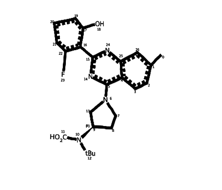 Cc1ccc2c(N3CC[C@@H](N(C(=O)O)C(C)(C)C)C3)nc(-c3c(O)cccc3F)nc2c1